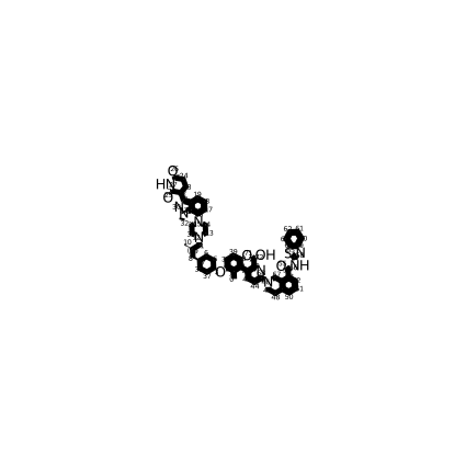 Cc1c(O[C@H]2CC[C@H](C[C@H](C)CN3CCN(c4cccc5c(C6CCC(=O)NC6=O)nn(C)c45)CC3)CC2)cccc1-c1ccc(N2CCc3cccc(C(=O)Nc4nc5ccccc5s4)c3C2)nc1C(=O)O